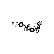 CN1CCC(N(C)c2[nH]c3cc(NC(=O)CCc4ccc(C(F)(F)F)cc4)ccc3[n+]2[O-])C1